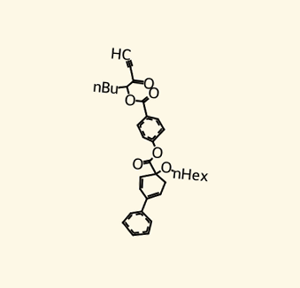 C#CC(=O)C(CCCC)OC(=O)c1ccc(OC(=O)C2(OCCCCCC)C=CC(c3ccccc3)=CC2)cc1